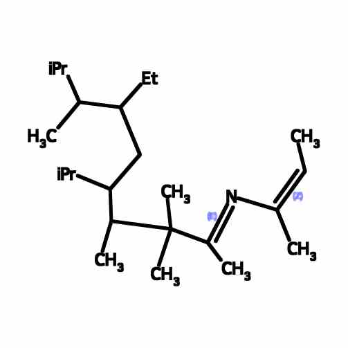 C/C=C(C)\N=C(/C)C(C)(C)C(C)C(CC(CC)C(C)C(C)C)C(C)C